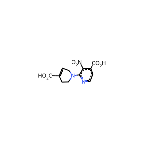 O=C(O)C1=CCN(c2nccc(C(=O)O)c2[N+](=O)[O-])CC1